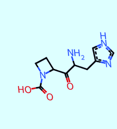 NC(Cc1c[nH]cn1)C(=O)C1CCN1C(=O)O